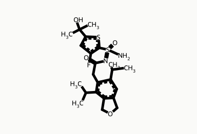 CC(C)c1cc2c(c(C(C)C)c1CC(=O)N=S(N)(=O)c1sc(C(C)(C)O)cc1F)COC2